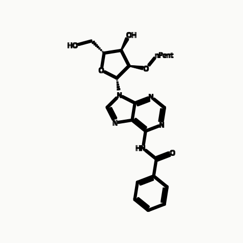 CCCCCO[C@@H]1[C@H](O)[C@@H](CO)O[C@H]1n1cnc2c(NC(=O)c3ccccc3)ncnc21